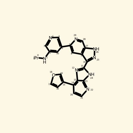 CC(C)Nc1cncc(-c2cc3c(-c4nc5c(-c6ccoc6)ccnc5[nH]4)n[nH]c3cn2)c1